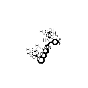 CC(C)(C)OC(=O)N[C@H](c1cn2ncc(CC3CCCCN(C(=O)OC(C)(C)C)C3=O)cc2n1)C1CCC(F)(F)CC1